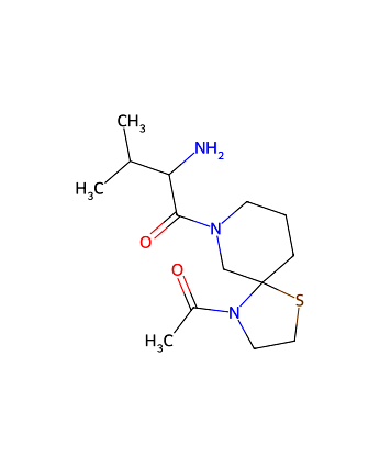 CC(=O)N1CCSC12CCCN(C(=O)C(N)C(C)C)C2